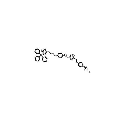 FC(F)(F)Oc1ccc(C=Cc2nc(COc3ccc(CCCCc4cn(C(c5ccccc5)(c5ccccc5)c5ccccc5)nn4)cc3)co2)cc1